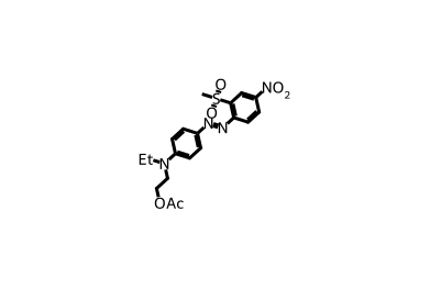 CCN(CCOC(C)=O)c1ccc(N=Nc2ccc([N+](=O)[O-])cc2S(C)(=O)=O)cc1